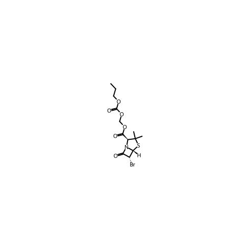 CCCOC(=O)OCOC(=O)[C@@H]1N2C(=O)[C@@H](Br)[C@H]2SC1(C)C